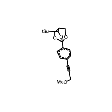 COCC#Cc1ccc(C23OCC(CO2)C(C(C)(C)C)O3)cc1